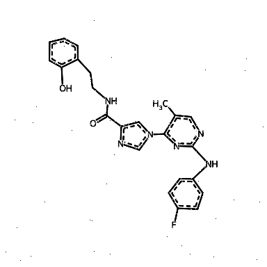 Cc1cnc(Nc2ccc(F)cc2)nc1-n1cnc(C(=O)NCCc2ccccc2O)c1